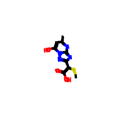 CSC(C(=O)O)c1nc2nc(C)cc(O)n2n1